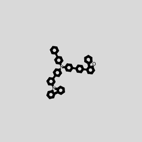 c1ccc(-c2ccc(N(c3ccc(-c4ccc(-c5cccc6oc7ccccc7c56)cc4)cc3)c3ccc(-c4cccc(-n5c6ccccc6c6ccccc65)c4)cc3)cc2)cc1